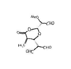 C=C1C(=O)O[C@H](C(C=O)OC)O[C@@H]1C(C=O)C=O